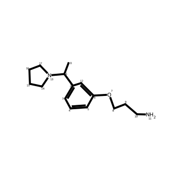 CC(c1cccc(OCCCN)c1)N1CCCC1